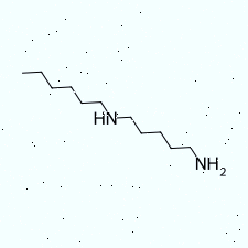 CCCCCCNCCCCCN